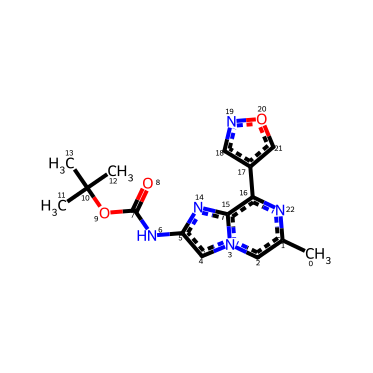 Cc1cn2cc(NC(=O)OC(C)(C)C)nc2c(-c2cnoc2)n1